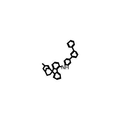 CC1C=C2CC(CCC23c2ccccc2-c2c(Nc4ccc(-c5cccc(-c6ccccc6)c5)cc4)cccc23)C1